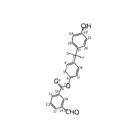 CC(C)(C1=CCC(OC(=O)c2cccc(C=O)c2)C=C1)c1ccc(O)cc1